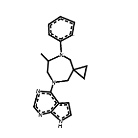 CC1CN(c2ncnc3[nH]ccc23)CC2(CC2)CN1c1[c]cccc1